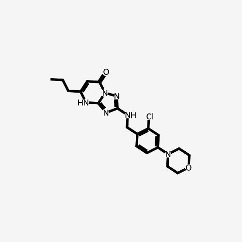 CCCc1cc(=O)n2nc(NCc3ccc(N4CCOCC4)cc3Cl)nc2[nH]1